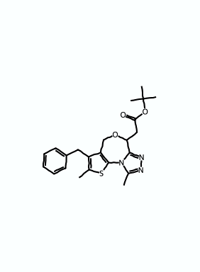 Cc1sc2c(c1Cc1ccccc1)COC(CC(=O)OC(C)(C)C)c1nnc(C)n1-2